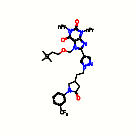 CCCn1c(=O)c2c(nc(-c3cnn(CCC4CC(=O)N(c5cccc(C(F)(F)F)c5)C4)c3)n2COCC[Si](C)(C)C)n(CCC)c1=O